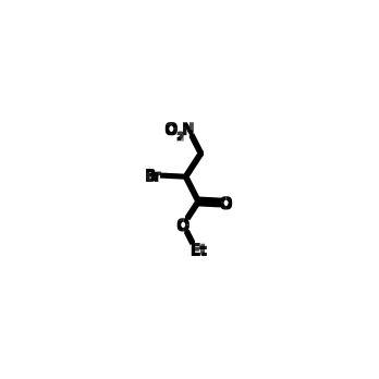 CCOC(=O)C(Br)C[N+](=O)[O-]